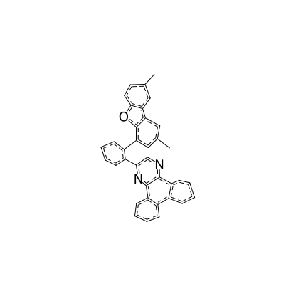 Cc1ccc2oc3c(-c4ccccc4-c4cnc5c6ccccc6c6ccccc6c5n4)cc(C)cc3c2c1